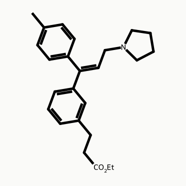 CCOC(=O)CCc1cccc(C(=CCN2CCCC2)c2ccc(C)cc2)c1